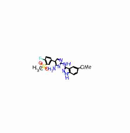 COc1ccc2[nH]nc(Nc3ncc(-c4ccc(F)c(S(C)(=O)=O)c4)c(N)n3)c2c1